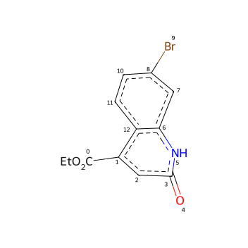 CCOC(=O)c1cc(=O)[nH]c2cc(Br)ccc12